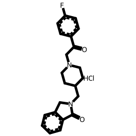 Cl.O=C(CN1CCC(CN2Cc3ccccc3C2=O)CC1)c1ccc(F)cc1